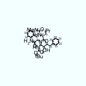 CNC(=O)N[C@@H](CC(C)C)C(=O)N(C(NC(=O)OC(C)(C)C)[C@@H](O)CCc1ccccc1)[C@@H](Cc1ccccc1)C(N)=O